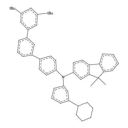 CC(C)(C)c1cc(-c2cccc(-c3ccc(N(c4cccc(C5CCCCC5)c4)c4ccc5c(c4)C(C)(C)c4ccccc4-5)cc3)c2)cc(C(C)(C)C)c1